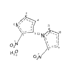 O.O=[N+]([O-])c1ccsn1.O=[N+]([O-])c1ccsn1